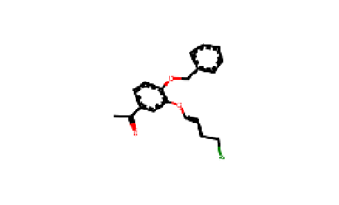 CC(=O)c1ccc(OCc2ccccc2)c(OC=CCCBr)c1